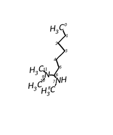 CCCCCCC(NC)N(C)C